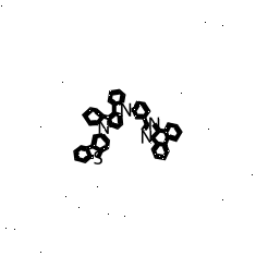 c1cc(-c2cnc3c4ccccc4c4ccccc4c3n2)cc(-n2c3ccccc3c3c4c5ccccc5n(-c5ccc6sc7ccccc7c6c5)c4ccc32)c1